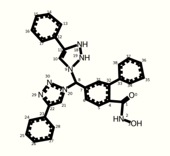 O=C(NO)c1ccc(C(N2C=C(c3ccccc3)NN2)n2cc(-c3ccccc3)nn2)cc1-c1ccccc1